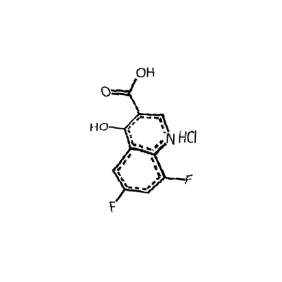 Cl.O=C(O)c1cnc2c(F)cc(F)cc2c1O